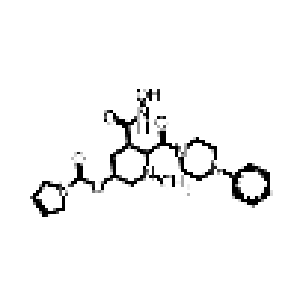 CN1CC(OC(=O)N2CC=CC2)CC(C(=O)NO)C1C(=O)N1CCN(c2ccccc2)CC1